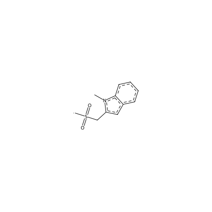 [CH2]S(=O)(=O)Cc1cc2ccccc2n1C